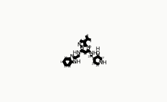 CC(C)c1cnn2c(NCc3nc4ccccc4[nH]3)cc(NC[C@H]3CCNC[C@@H]3O)nc12